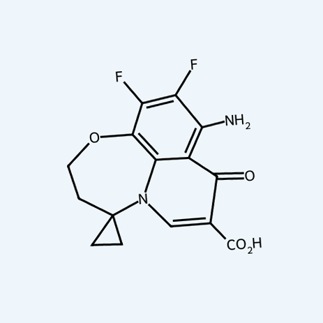 Nc1c(F)c(F)c2c3c1c(=O)c(C(=O)O)cn3C1(CCO2)CC1